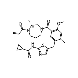 C=CC(=O)N1CCCN(C(=O)c2cc(Cc3cnc(NC(=O)C4CC4)s3)c(C)cc2OC)C[C@H]1C